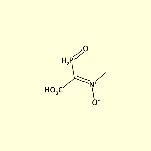 C[N+]([O-])=C([PH2]=O)C(=O)O